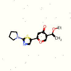 C=C(OCC)c1coc(-c2cnc(N3CCCC3)s2)cc1=O